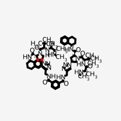 CN[C@@H](C)C(=O)N[C@H](C(=O)N1C[C@@H](n2cc(CNC(=O)c3cccc(C(=O)NCc4cn([C@H]5C[C@@H](C(=O)N[C@@H]6CCCc7ccccc76)N(C(=O)[C@@H](NC(=O)[C@H](C)NC)C(C)(C)C)C5)nn4)c3)nn2)C[C@H]1C(=O)N[C@@H]1CCCc2ccccc21)C(C)(C)C